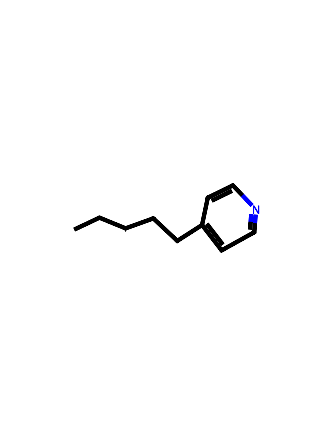 CC[CH]CCc1ccncc1